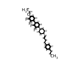 CCCc1ccc(CC/C=C/[C@H]2CC[C@H](c3ccc(-c4ccc(OCC)c(F)c4F)c(F)c3F)CC2)cc1